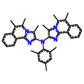 Cc1cc(C)c(N(c2nc3c4ccccc4c(C)c(C)n3c2C)c2nc3c4ccccc4c(C)c(C)n3c2C)c(C)c1